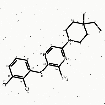 CCC1(C)CCN(c2cnc(Sc3cccc(Cl)c3Cl)c(N)n2)CC1